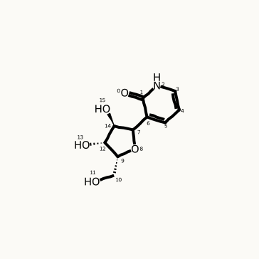 O=c1[nH]cccc1C1O[C@H](CO)[C@H](O)[C@H]1O